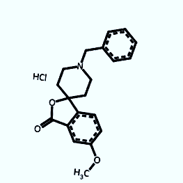 COc1ccc2c(c1)C(=O)OC21CCN(Cc2ccccc2)CC1.Cl